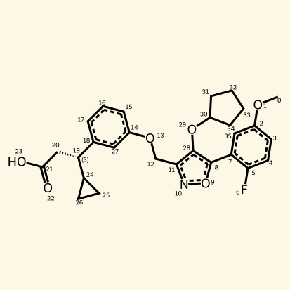 COc1ccc(F)c(-c2onc(COc3cccc([C@@H](CC(=O)O)C4CC4)c3)c2OC2CCCC2)c1